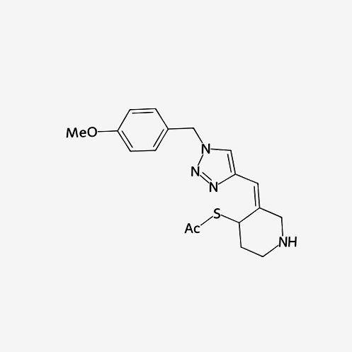 COc1ccc(Cn2cc(/C=C3/CNCCC3SC(C)=O)nn2)cc1